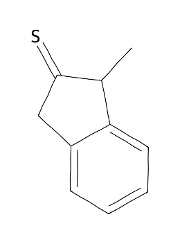 CC1C(=S)Cc2ccccc21